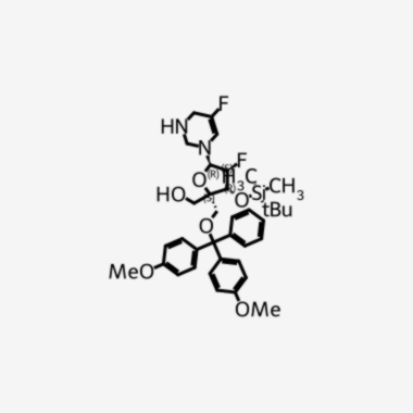 COc1ccc(C(OC[C@]2(CO)O[C@@H](N3C=C(F)CNC3)[C@@H](F)[C@@H]2O[Si](C)(C)C(C)(C)C)(c2ccccc2)c2ccc(OC)cc2)cc1